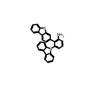 Nc1cccc(-n2c3ccccc3c3ccccc32)c1-c1ccc2c(c1)sc1ccccc12